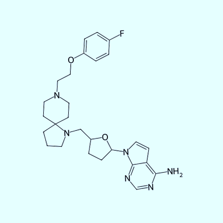 Nc1ncnc2c1ccn2C1CCC(CN2CCCC23CCN(CCOc2ccc(F)cc2)CC3)O1